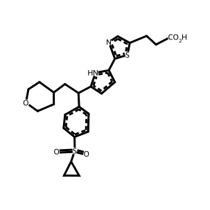 O=C(O)CCc1cnc(-c2ccc(C(CC3CCOCC3)c3ccc(S(=O)(=O)C4CC4)cc3)[nH]2)s1